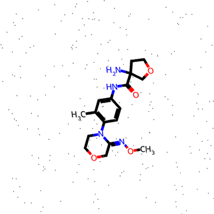 CON=C1COCCN1c1ccc(NC(=O)C2(N)CCOC2)cc1C